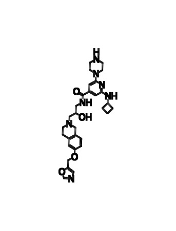 O=C(NCC(O)CN1CCc2cc(OCc3cnco3)ccc2C1)c1cc(NC2CCC2)nc(N2CCNCC2)c1